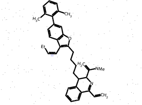 C=CC1=NC(C(=C)NC)C(CCCCc2oc3cc(-c4c(C)cccc4C)ccc3c2/C=C\CC)c2ccccc21